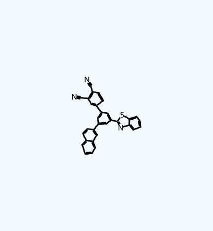 N#Cc1ccc(-c2cc(-c3ccc4ccccc4c3)cc(-c3nc4ccccc4s3)c2)cc1C#N